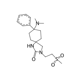 CN(C)C1(c2ccccc2)CCC2(CC1)CN(CCS(C)(=O)=O)C(=O)N2